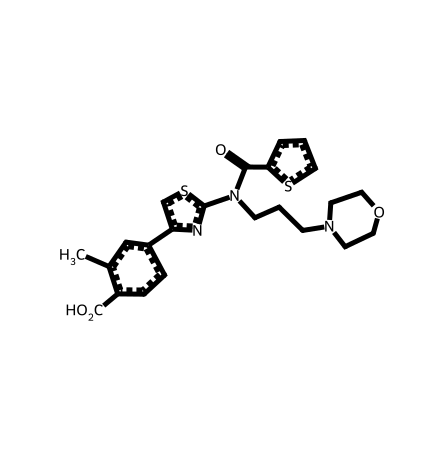 Cc1cc(-c2csc(N(CCCN3CCOCC3)C(=O)c3cccs3)n2)ccc1C(=O)O